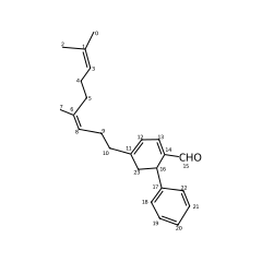 CC(C)=CCCC(C)=CCCC1=CC=C(C=O)C(c2ccccc2)C1